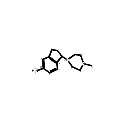 CN1CCN(C2CCc3cc(N)ccc32)CC1